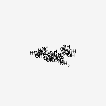 Cc1cc(C(S)C2=C(C(=O)O)N3C(=O)[C@@H](NC(=O)C(=NOCc4cc(O)c(O)cc4C(=O)O)c4csc(N)n4)[C@H]3SC2)n2nc(C(=O)O)nc2n1